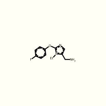 CCn1c(CN)cnc1Oc1ccc(F)cc1